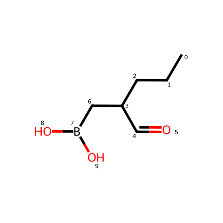 CCCC(C=O)CB(O)O